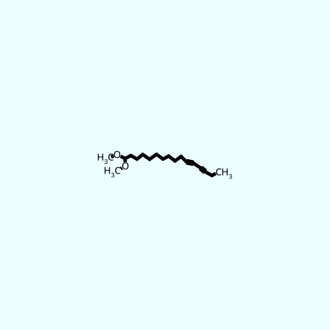 CCC#CC#CCCCCCCCCCC(OC)OC